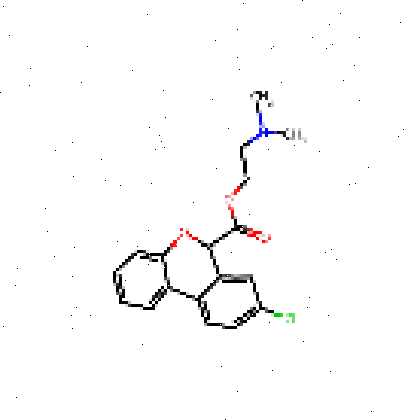 CN(C)CCOC(=O)C1Oc2ccccc2-c2ccc(Cl)cc21